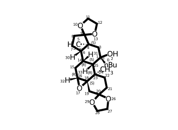 CCCC[C@]1(O)C[C@@]2(C)[C@@H](CCC23OCCO3)[C@H]2C[C@H]3O[C@]34CC3(CC[C@]4(C)[C@H]21)OCCO3